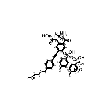 COCCNCc1ccc(C#Cc2ccc(C(N)=O)c([C@H](C(=O)NO)C(C)(C)N)c2)cc1.Cc1ccc(S(=O)(=O)O)cc1.Cc1ccc(S(=O)(=O)O)cc1.O